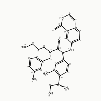 Cc1cc(C(Nc2ccc3cc[nH]c(=O)c3c2)C(=O)N(CCCC=O)Cc2cccc(N)c2)ccc1[C@@H](C)CO